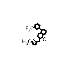 Cc1ccc(CC2CCc3c(cccc3-c3cccc(C(F)(F)F)c3)C2=O)s1